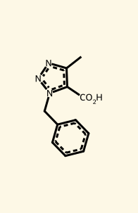 Cc1nnn(Cc2ccccc2)c1C(=O)O